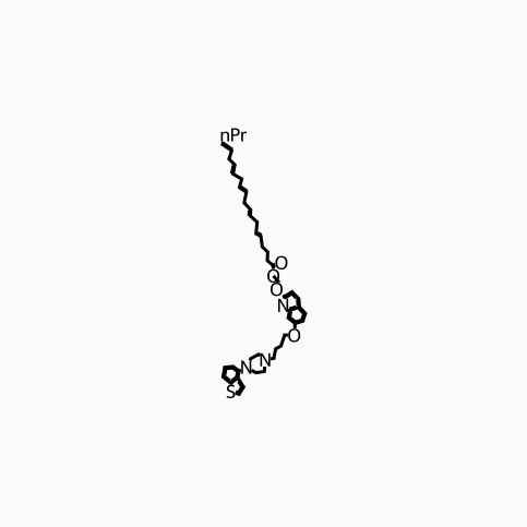 CCCC=CCC=CCC=CCC=CCC=CCCCC(=O)OCOc1ccc2ccc(OCCCCN3CCN(c4cccc5sccc45)CC3)cc2n1